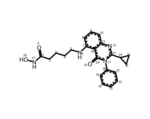 O=C(CCCCNc1cccc2nc(C3CC3)n(-c3ccccc3)c(=O)c12)NO